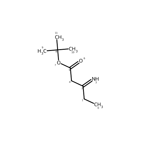 CCC(=N)CC(=O)OC(C)(C)C